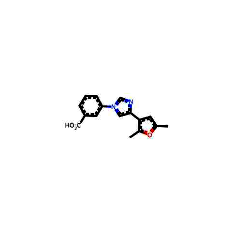 Cc1cc(-c2cn(-c3cccc(C(=O)O)c3)cn2)c(C)o1